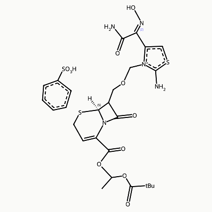 CC(OC(=O)C1=CCS[C@H]2C(COC[n+]3c(/C(=N/O)C(N)=O)csc3N)C(=O)N12)OC(=O)C(C)(C)C.O=S(=O)(O)c1ccccc1